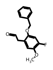 COc1cc(CC=O)c(OCc2ccccc2)cc1F